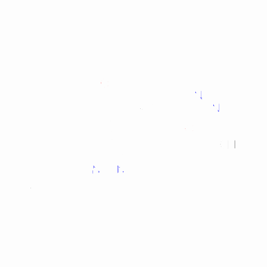 Cc1nnc(-c2ccc3occ(-c4cnn(Cc5ccccc5)c4)c3c2)o1